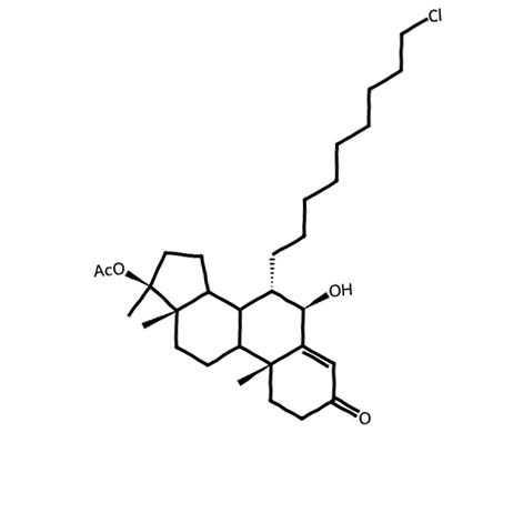 CC(=O)O[C@@]1(C)CCC2C3C(CC[C@@]21C)[C@@]1(C)CCC(=O)C=C1[C@H](O)[C@H]3CCCCCCCCCCl